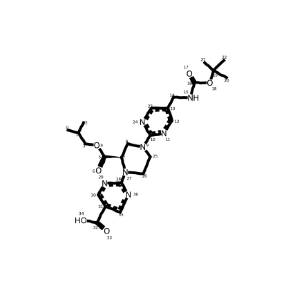 CC(C)COC(=O)[C@H]1CN(c2ncc(CNC(=O)OC(C)(C)C)cn2)CCN1c1ncc(C(=O)O)cn1